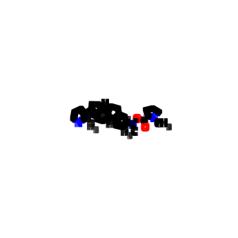 CN(OC(=O)[C@@H]1CCCN1C)C1C=C2CC[C@H]3[C@H](CC[C@]4(C)C(c5cccnc5)=CC[C@@H]34)[C@@]2(C)CC1